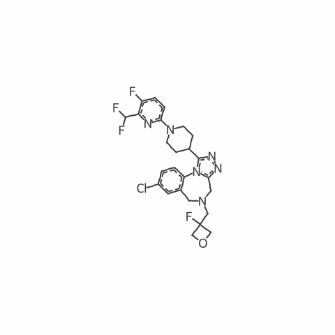 Fc1ccc(N2CCC(c3nnc4n3-c3ccc(Cl)cc3CN(CC3(F)COC3)C4)CC2)nc1C(F)F